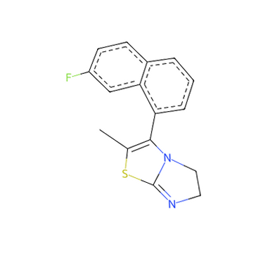 CC1=C(c2cccc3ccc(F)cc23)N2CCN=C2S1